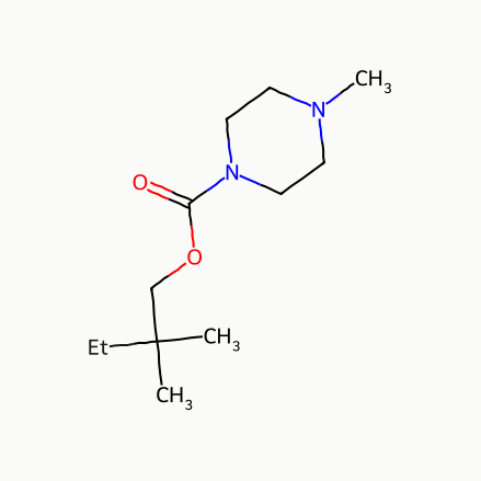 CCC(C)(C)COC(=O)N1CCN(C)CC1